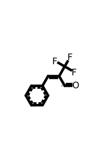 O=[C]/C(=C\c1ccccc1)C(F)(F)F